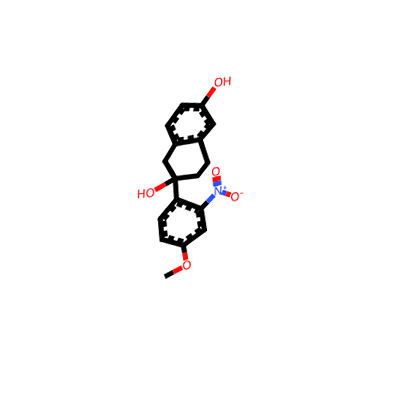 COc1ccc(C2(O)CCc3cc(O)ccc3C2)c([N+](=O)[O-])c1